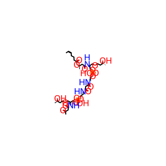 C/C=C\CCCC(=O)O[C@H](C)CC(=O)NC(COCC[C@@H](C)O)COP(=O)(O)OCCNC(=O)CC(=O)NCCOP(=O)(O)OCC(COCC[C@@H](C)O)NC(=O)CC(C)=O